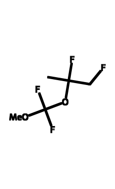 COC(F)(F)OC(C)(F)CF